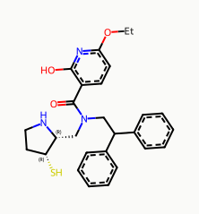 CCOc1ccc(C(=O)N(CC(c2ccccc2)c2ccccc2)C[C@H]2NCC[C@H]2S)c(O)n1